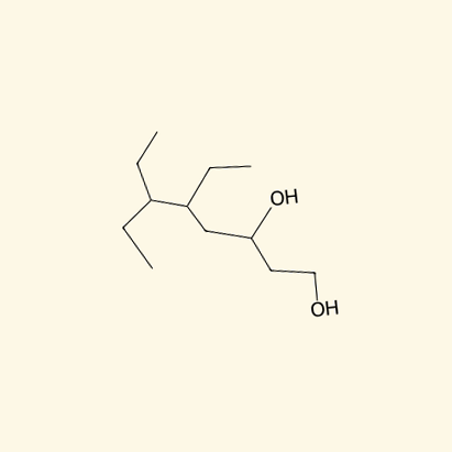 CCC(CC)C(CC)CC(O)CCO